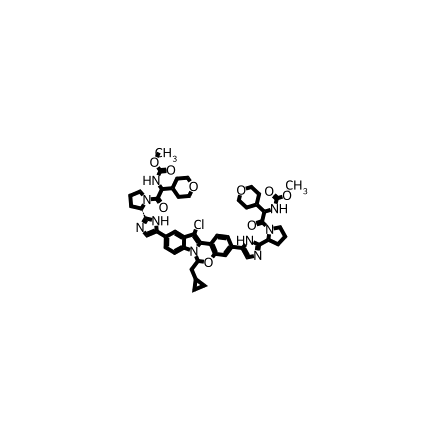 COC(=O)NC(C(=O)N1CCCC1c1ncc(-c2ccc3c(c2)OC(CC2CC2)n2c-3c(Cl)c3cc(-c4cnc([C@@H]5CCCN5C(=O)C(NC(=O)OC)C5CCOCC5)[nH]4)ccc32)[nH]1)C1CCOCC1